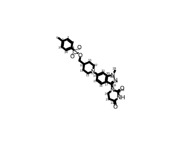 Cc1ccc(S(=O)(=O)OCC2CCN(c3ccc4c(N5CCC(=O)NC5=O)nn(C)c4c3)CC2)cc1